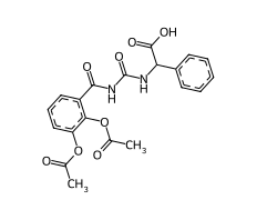 CC(=O)Oc1cccc(C(=O)NC(=O)NC(C(=O)O)c2ccccc2)c1OC(C)=O